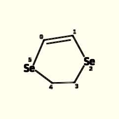 C1=C[Se]CC[Se]1